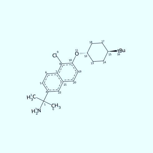 CC(C)(N)c1ccc2c(Cl)c(O[C@H]3CC[C@H](C(C)(C)C)CC3)ccc2c1